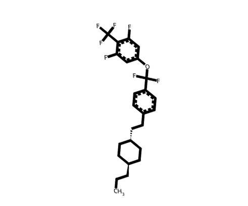 CCC[C@H]1CC[C@H](CCc2ccc(C(F)(F)Oc3cc(F)c(C(F)(F)F)c(F)c3)cc2)CC1